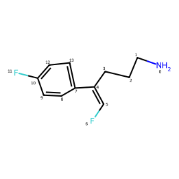 NCCC/C(=C/F)c1ccc(F)cc1